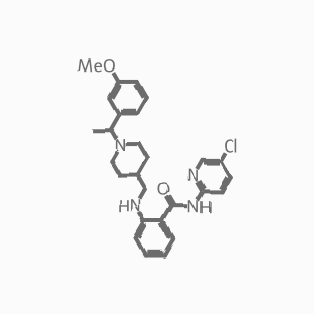 COc1cccc(C(C)N2CCC(CNc3ccccc3C(=O)Nc3ccc(Cl)cn3)CC2)c1